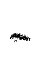 CCOc1ccc(-c2ccc(-c3ccnc(Nc4cccc(C(C)O)c4)n3)s2)c(Cl)c1